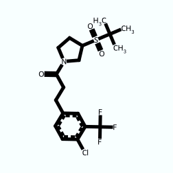 CC(C)(C)S(=O)(=O)C1CCN(C(=O)CCc2ccc(Cl)c(C(F)(F)F)c2)C1